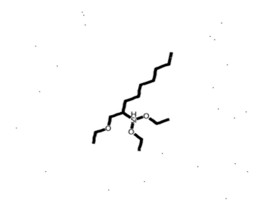 CCCCCCCC(COCC)[SiH](OCC)OCC